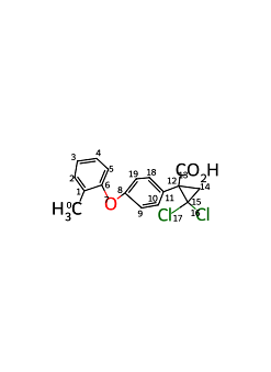 Cc1ccccc1Oc1ccc(C2(C(=O)O)CC2(Cl)Cl)cc1